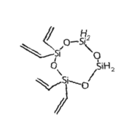 C=C[Si]1(C=C)O[SiH2]O[SiH2]O[Si](C=C)(C=C)O1